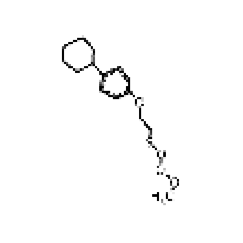 COOOSCCOc1ccc(C2CCCCC2)cc1